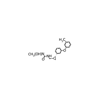 Cc1cccc(Oc2cccc([C@@H]3C[C@H]3CNC(=O)N(C)O)c2)c1